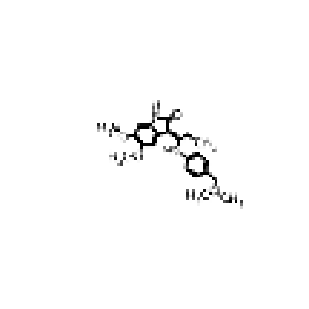 CCC(Nc1ccc(CN(C)C)cc1)=C1C(=O)Nc2cc(OC)c(OC)cc21